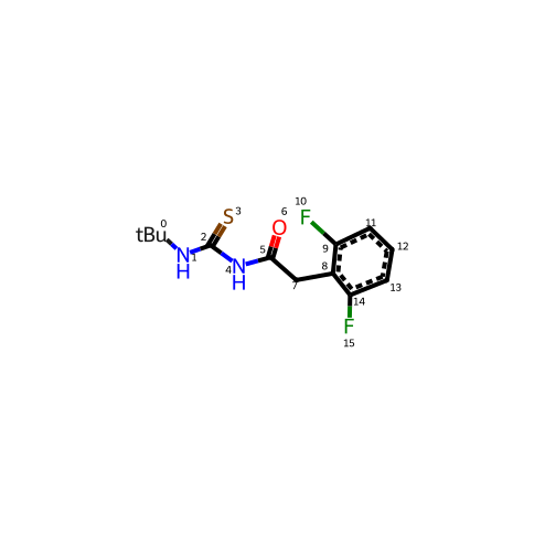 CC(C)(C)NC(=S)NC(=O)Cc1c(F)cccc1F